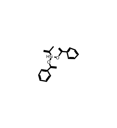 C=C(O[SiH](OC(=C)c1ccccc1)C(=C)C)c1ccccc1